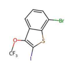 FC(F)(F)Oc1c(I)sc2c(Br)cccc12